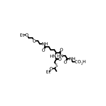 CCOCCOCCNC(=O)CCCC(NC(=O)CSC(C)OCC)C(=O)NCC(=O)NCC(=O)O